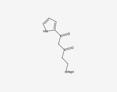 CCCCCCCCCC(=O)CC(=O)c1ccc[nH]1